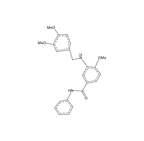 COc1ccc(C(=O)Nc2ccccc2)cc1NCc1ccc(OC)c(OC)c1